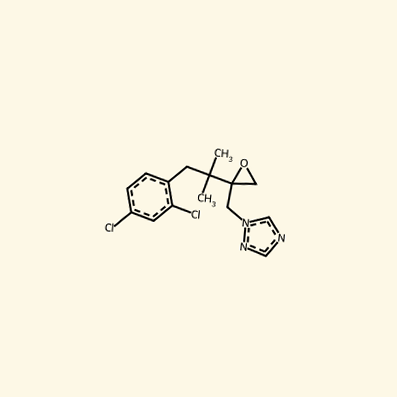 CC(C)(Cc1ccc(Cl)cc1Cl)C1(Cn2cncn2)CO1